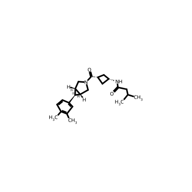 Cc1ccc([C@H]2[C@@H]3CN(C(=O)[C@H]4C[C@@H](NC(=O)CC(C)C)C4)C[C@@H]32)cc1C